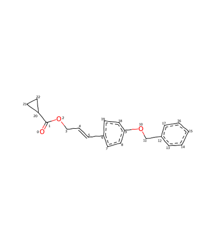 O=C(OCC=Cc1ccc(OCc2ccccc2)cc1)C1CC1